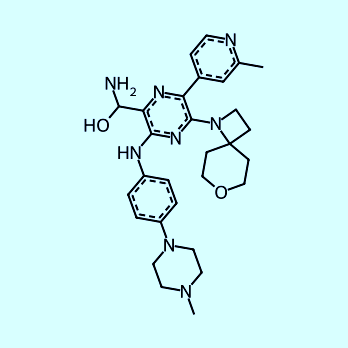 Cc1cc(-c2nc(C(N)O)c(Nc3ccc(N4CCN(C)CC4)cc3)nc2N2CCC23CCOCC3)ccn1